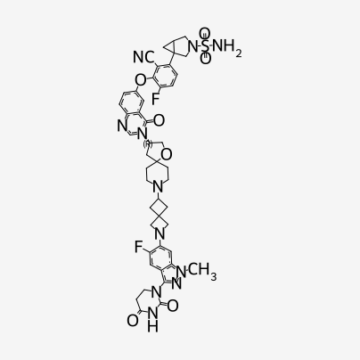 Cn1nc(N2CCC(=O)NC2=O)c2cc(F)c(N3CC4(CC(N5CCC6(CC5)C[C@@H](n5cnc7ccc(Oc8c(F)ccc(C9%10CC9CN(S(N)(=O)=O)C%10)c8C#N)cc7c5=O)CO6)C4)C3)cc21